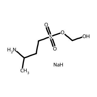 CC(N)CCS(=O)(=O)OCO.[NaH]